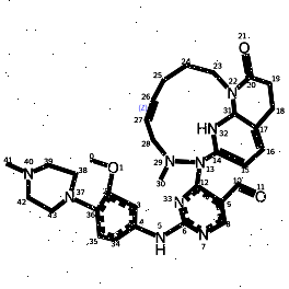 COc1cc(Nc2ncc(C=O)c(N3C4=CC=C5CCC(=O)N(CCC/C=C\CN3C)C5N4)n2)ccc1N1CCN(C)CC1